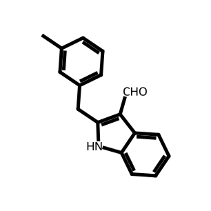 Cc1cccc(Cc2[nH]c3ccccc3c2C=O)c1